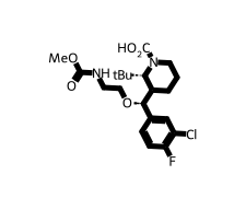 COC(=O)NCCO[C@@H](c1ccc(F)c(Cl)c1)C1CCCN(C(=O)O)[C@H]1C(C)(C)C